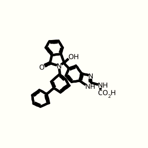 O=C(O)Nc1nc2cc(C3(O)c4ccccc4C(=O)N3c3cccc(-c4ccccc4)c3)ccc2[nH]1